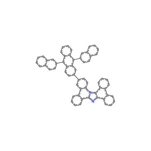 c1ccc2cc(-c3c4ccccc4c(-c4ccc5ccccc5c4)c4cc(-c5ccc6c(c5)c5ccccc5c5nc7c8ccccc8c8ccccc8c7n65)ccc34)ccc2c1